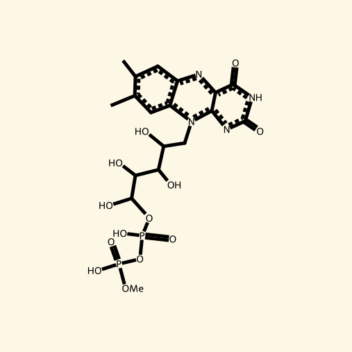 COP(=O)(O)OP(=O)(O)OC(O)C(O)C(O)C(O)Cn1c2nc(=O)[nH]c(=O)c-2nc2cc(C)c(C)cc21